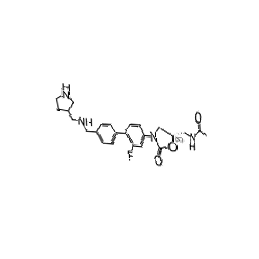 CC(=O)NC[C@H]1CN(c2ccc(-c3ccc(CNCC4CCNC4)cc3)c(F)c2)C(=O)O1